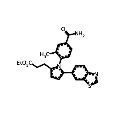 CCOC(=O)CCc1ccc(-c2ccc3ncsc3c2)n1-c1ccc(C(N)=O)cc1C